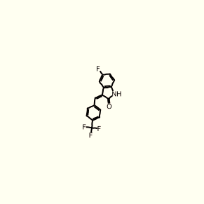 O=C1Nc2ccc(F)cc2C1=Cc1ccc(C(F)(F)F)cc1